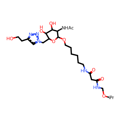 CC(=O)NC1C(OCCCCCCNC(=O)CC(=O)NCOC(C)C)OC(Cn2cc(CCO)nn2)C(O)C1O